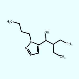 CCCCn1nccc1C(O)C(CC)CC